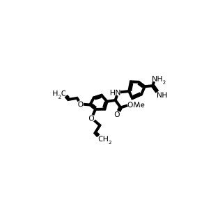 C=CCOc1ccc(C(Nc2ccc(C(=N)N)cc2)C(=O)OC)cc1OCC=C